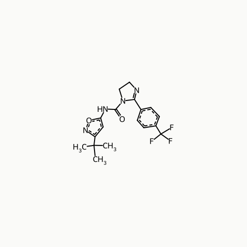 CC(C)(C)c1cc(NC(=O)N2CCN=C2c2ccc(C(F)(F)F)cc2)on1